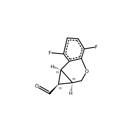 O=C[C@@H]1[C@@H]2COc3c(F)ccc(F)c3[C@H]12